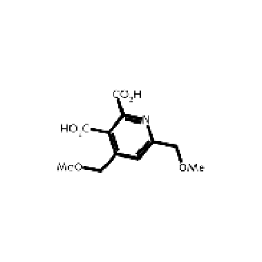 COCc1cc(COC)c(C(=O)O)c(C(=O)O)n1